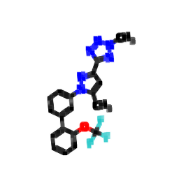 Cc1cc(-c2nnn(C)n2)nn1-c1cccc(-c2ccccc2OC(F)(F)F)c1